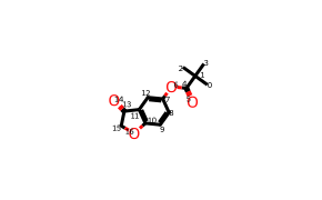 CC(C)(C)C(=O)Oc1ccc2c(c1)C(=O)CO2